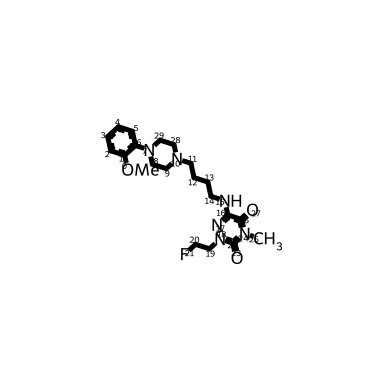 COc1ccccc1N1CCN(CCCCNc2nn(CCF)c(=O)n(C)c2=O)CC1